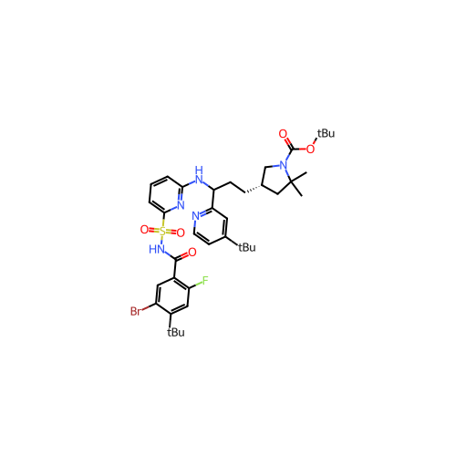 CC(C)(C)OC(=O)N1C[C@@H](CCC(Nc2cccc(S(=O)(=O)NC(=O)c3cc(Br)c(C(C)(C)C)cc3F)n2)c2cc(C(C)(C)C)ccn2)CC1(C)C